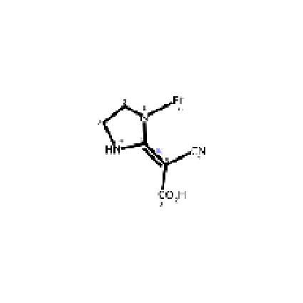 CCN1CCN/C1=C(/C#N)C(=O)O